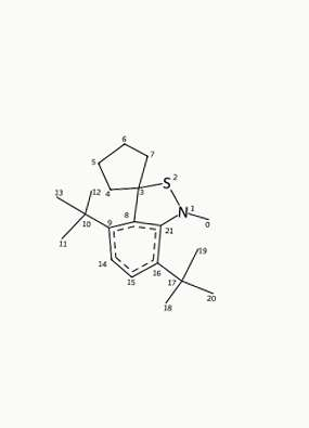 CN1SC2(CCCC2)c2c(C(C)(C)C)ccc(C(C)(C)C)c21